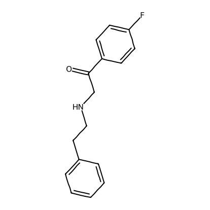 O=C(CNCCc1ccccc1)c1ccc(F)cc1